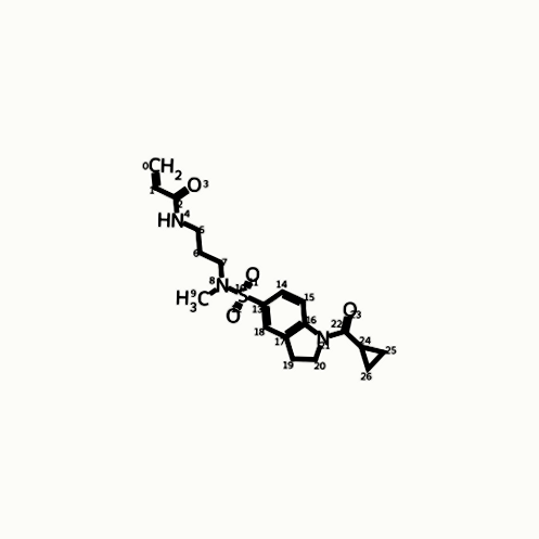 C=CC(=O)NCCCN(C)S(=O)(=O)c1ccc2c(c1)CCN2C(=O)C1CC1